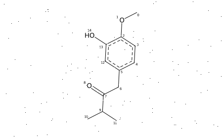 COc1ccc(CC(=O)C(C)C)cc1O